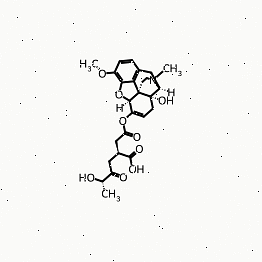 COc1ccc2c3c1O[C@@H]1C(OC(=O)C[C@H](CC(=O)[C@H](C)O)C(=O)O)=CC[C@]4(O)[C@H](C2)N(C)CC[C@@]314